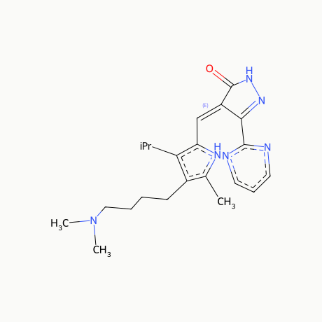 Cc1[nH]c(/C=C2/C(=O)NN=C2c2ncccn2)c(C(C)C)c1CCCCN(C)C